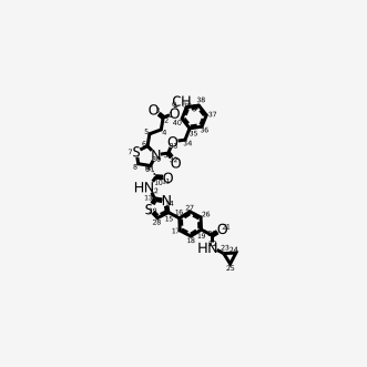 COC(=O)CCC1SC[C@@H](C(=O)Nc2nc(-c3ccc(C(=O)NC4CC4)cc3)cs2)N1C(=O)OCc1ccccc1